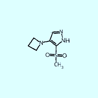 CS(=O)(=O)c1[nH]n[c]c1N1CCC1